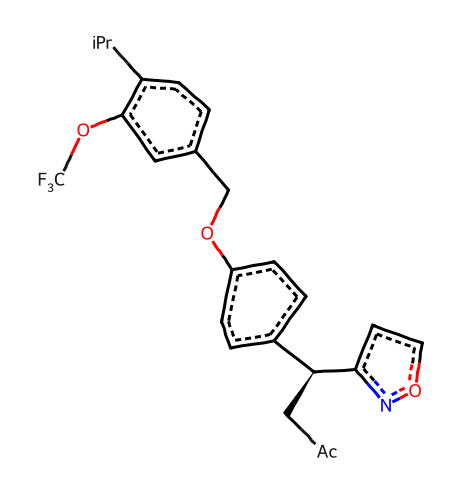 CC(=O)C[C@@H](c1ccc(OCc2ccc(C(C)C)c(OC(F)(F)F)c2)cc1)c1ccon1